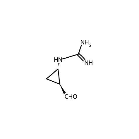 N=C(N)N[C@H]1C[C@@H]1C=O